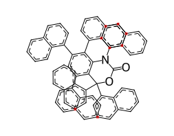 O=C1OC(c2cccc3ccccc23)(c2cccc3ccccc23)c2c(-c3cccc4ccccc34)[c]c(-c3cccc4ccccc34)c(-c3cccc4ccccc34)c2N1c1cccc2ccccc12